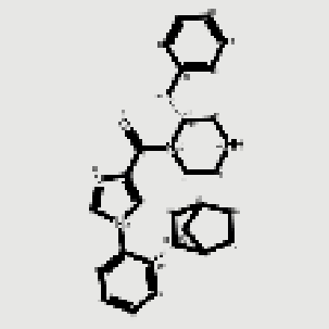 O=C(c1cn(-c2ccccc2[C@@H]2CC3CCC2C3)cn1)N1CCNC[C@H]1Cc1ccccc1